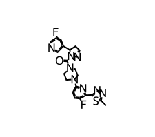 Cc1nnc(-c2nc(N3CCN(C(=O)N4N=CCC4c4cncc(F)c4)CC3)ccc2F)s1